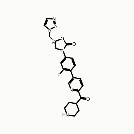 O=C(c1ccc(-c2ccc(N3C[C@H](Cn4ccnn4)OC3=O)cc2F)cn1)C1CCNCC1